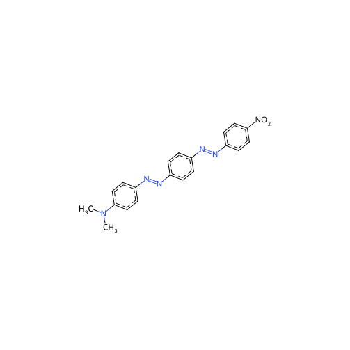 CN(C)c1ccc(/N=N/c2ccc(/N=N/c3ccc([N+](=O)[O-])cc3)cc2)cc1